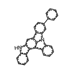 c1ccc(-c2ccc3c4cc5[nH]c6ccccc6c5c5c6ccccc6n(c3c2)c45)cc1